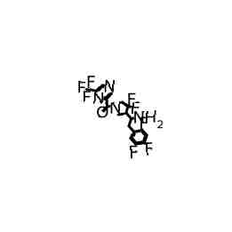 NC(Cc1cc(F)c(F)cc1F)C1CN(C(=O)c2cncc(C(F)(F)F)n2)CC1(F)F